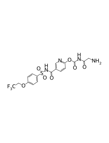 NCC(=O)NC(=O)Oc1ccc(C(=O)NS(=O)(=O)c2ccc(OCC(F)(F)F)cc2)cn1